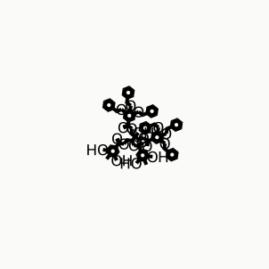 Cc1c(O)cc(C(=O)OCC(OC(=O)c2cc(O)c(C)c(O)c2)C(O)(COC(=O)c2cc(OCc3ccccc3)c(OCc3ccccc3)c(OCc3ccccc3)c2)COC(=O)c2cc(OCc3ccccc3)c(OCc3ccccc3)c(OCc3ccccc3)c2)cc1O